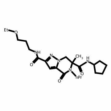 CCCN1C(=O)c2cc(C(=O)NCCCOCC)nn2CC1(C)C(=O)NC1CCCC1